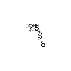 O=C1CCC(Nc2ccc(N3CCC(CC(=O)OCc4ccccc4)CC3)cc2)C(=O)N1